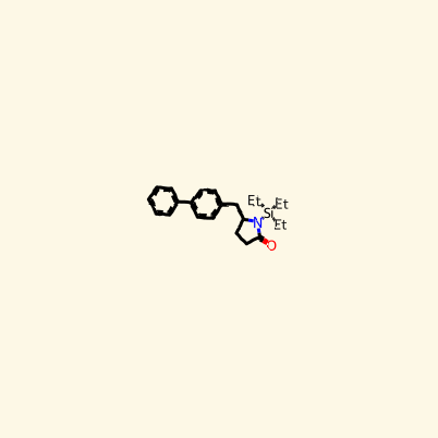 CC[Si](CC)(CC)N1C(=O)CCC1Cc1ccc(-c2ccccc2)cc1